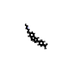 C/C=C/COc1ccc2c(c1)sc1nc(-c3ccc(N(C)C)cc3)cn12